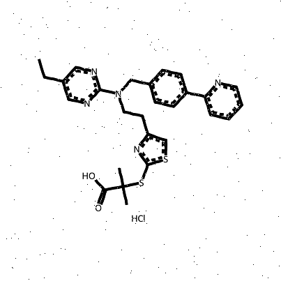 CCc1cnc(N(CCc2csc(SC(C)(C)C(=O)O)n2)Cc2ccc(-c3ccccn3)cc2)nc1.Cl